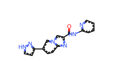 O=C(Nc1ccccn1)c1cn2cc(-c3cc[nH]n3)ccc2n1